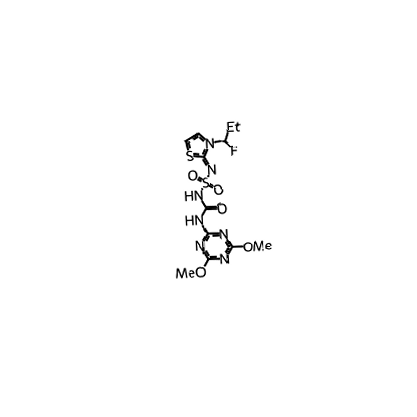 CCC(F)n1ccsc1=NS(=O)(=O)NC(=O)Nc1nc(OC)nc(OC)n1